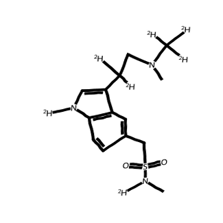 [2H]N(C)S(=O)(=O)Cc1ccc2c(c1)c(C([2H])([2H])CN(C)C([2H])([2H])[2H])cn2[2H]